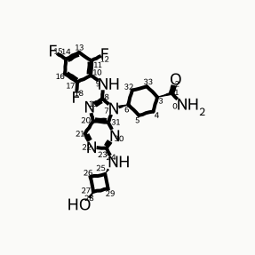 NC(=O)[C@H]1CC[C@@H](n2c(Nc3c(F)cc(F)cc3F)nc3cnc(N[C@H]4C[C@H](O)C4)nc32)CC1